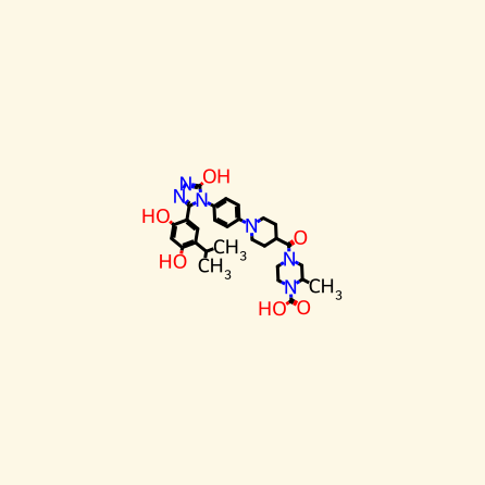 CC(C)c1cc(-c2nnc(O)n2-c2ccc(N3CCC(C(=O)N4CCN(C(=O)O)C(C)C4)CC3)cc2)c(O)cc1O